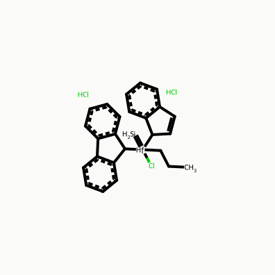 CC[CH2][Hf](=[SiH2])([Cl])([CH]1C=Cc2ccccc21)[CH]1c2ccccc2-c2ccccc21.Cl.Cl